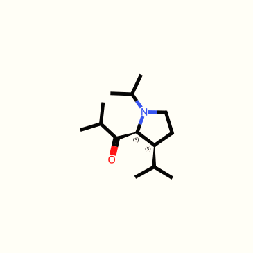 CC(C)C(=O)[C@@H]1[C@H](C(C)C)CCN1C(C)C